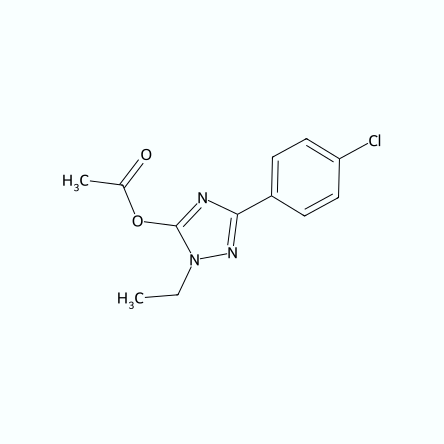 CCn1nc(-c2ccc(Cl)cc2)nc1OC(C)=O